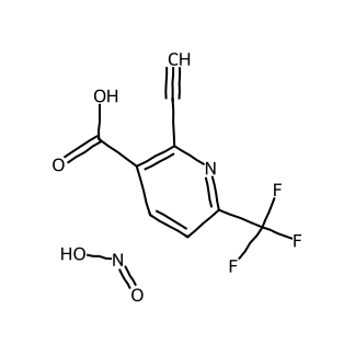 C#Cc1nc(C(F)(F)F)ccc1C(=O)O.O=NO